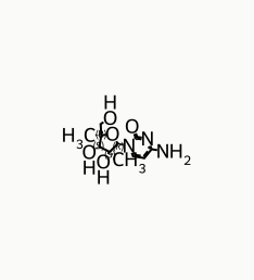 C[C@@]1(O)[C@H](n2ccc(N)nc2=O)O[C@](C)(CO)[C@H]1O